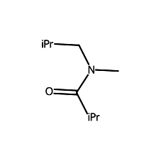 CC(C)CN(C)C(=O)C(C)C